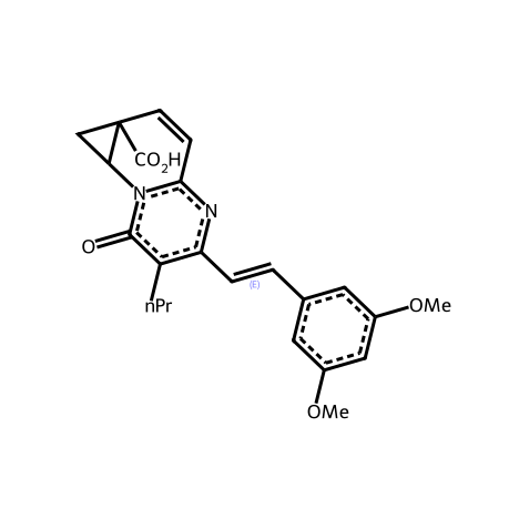 CCCc1c(/C=C/c2cc(OC)cc(OC)c2)nc2n(c1=O)C1CC1(C(=O)O)C=C2